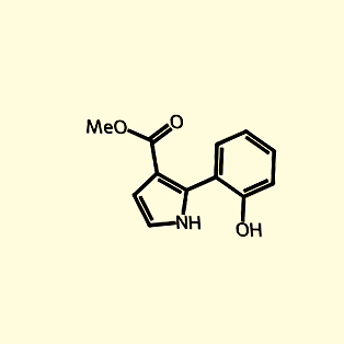 COC(=O)c1cc[nH]c1-c1ccccc1O